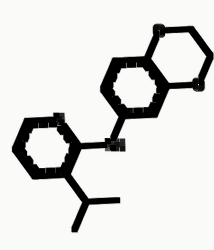 CC(C)c1cccnc1Nc1ccc2c(c1)OCCO2